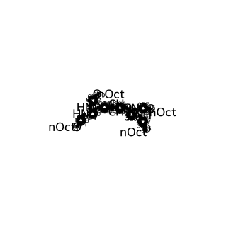 CCCCCCCCOc1ccc(Nc2cccc(Oc3ccc(C(C)(C)c4ccc(Oc5cccc(Nc6ccc(OCCCCCCCC)cc6)c5Nc5ccc(OCCCCCCCC)cc5)cc4)cc3)c2Nc2ccc(OCCCCCCCC)cc2)cc1